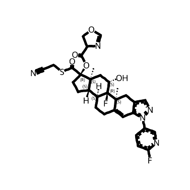 C[C@]12Cc3cnn(-c4ccc(F)nc4)c3C=C1CC[C@H]1[C@@H]3CC[C@](OC(=O)C4COC=N4)(C(=O)SCC#N)[C@@]3(C)C[C@H](O)[C@@]12F